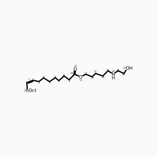 CCCCCCCC/C=C\CCCCCCCC(=O)OCCCCCNCCO